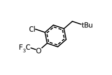 CC(C)(C)Cc1ccc(OC(F)(F)F)c(Cl)c1